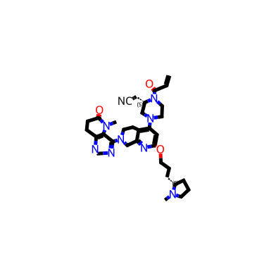 C=CC(=O)N1CCN(c2cc(OCCC[C@@H]3CCCN3C)nc3c2CCN(c2ncnc4c2N(C)C(=O)CC4)C3)C[C@@H]1CC#N